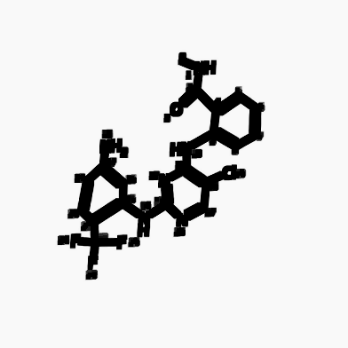 CNC(=O)c1ccccc1Nc1nc(Nc2cc(N)ccc2C(F)(F)F)ncc1Cl